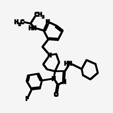 CC(C)Nc1ncccc1CN1CCC2(CC1)C(NC1CCCCC1)=NC(=O)N2c1cccc(F)c1